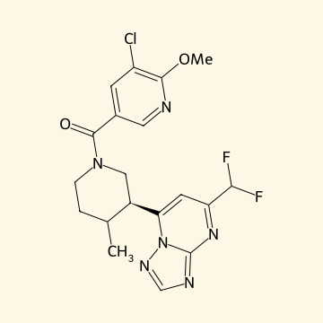 COc1ncc(C(=O)N2CCC(C)[C@H](c3cc(C(F)F)nc4ncnn34)C2)cc1Cl